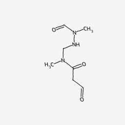 CN(C=O)NCN(C)C(=O)CC=O